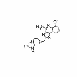 COc1cccc2c1nc(N)n1nc(CN3C=CN4CNNC4C3)nc21